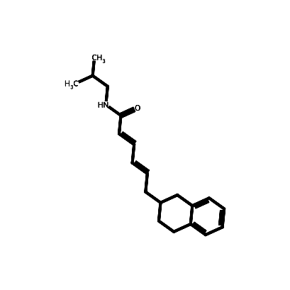 CC(C)CNC(=O)C=CC=CCC1CCc2ccccc2C1